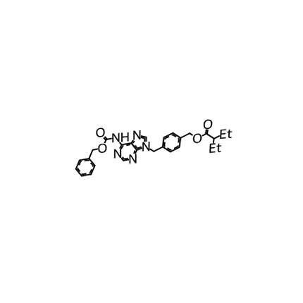 CCC(CC)C(=O)OCc1ccc(Cn2cnc3c(NC(=O)OCc4ccccc4)ncnc32)cc1